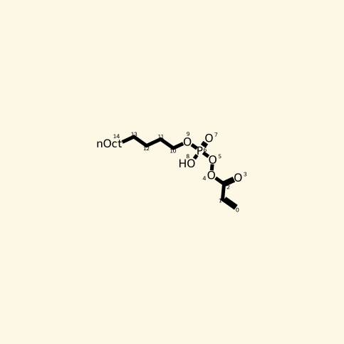 C=CC(=O)OOP(=O)(O)OCCCCCCCCCCCC